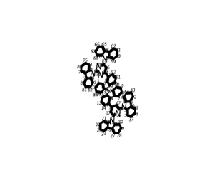 c1ccc([Si](c2ccccc2)(c2cccc(-c3cc(-n4c5ccccc5c5ccccc54)nc(-n4c5ccccc5c5ccccc54)c3)c2)c2cccc(-c3cc(-n4c5ccccc5c5ccccc54)nc(-n4c5ccccc5c5ccccc54)n3)c2)cc1